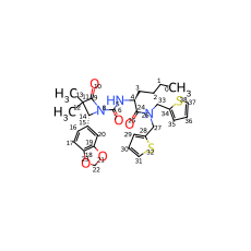 CCCC[C@H](NC(=O)N1C(=O)C(C)(C)[C@H]1c1ccc2c(c1)OCO2)C(=O)N(Cc1cccs1)Cc1cccs1